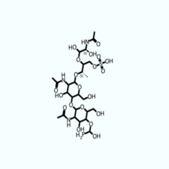 CC(=O)NC1C(OC2C(CO)OC(O[C@@H](C)C(COS(=O)(=O)O)OC(O)[C@H](O)NC(C)=O)C(NC(C)=O)C2O)OC(CO)C(OC(O)P)C1O